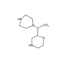 CC(C1CNCCO1)N1CCNCC1